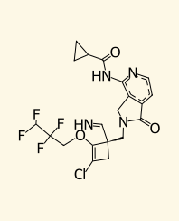 N=C[C@]1(CN2Cc3c(ccnc3NC(=O)C3CC3)C2=O)CC(Cl)=C1OCC(F)(F)C(F)F